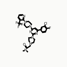 CN(C)C(=O)CN1CCN(c2nc(-c3ccc(F)c(Cl)c3)cc(N3CCN(c4ncccc4C(F)(F)F)CC3)n2)CC1